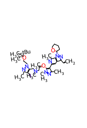 C=Cc1nn(C2CCCCO2)c2c(C)nc(-c3c(C)nn(C)c3O[C@@H](C)CN(C)Cc3c(I)c(C)nn3CCO[Si](C)(C)C(C)(C)C)cc12